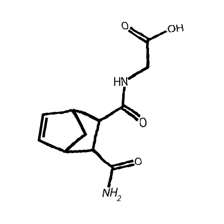 NC(=O)C1C2C=CC(C2)C1C(=O)NCC(=O)O